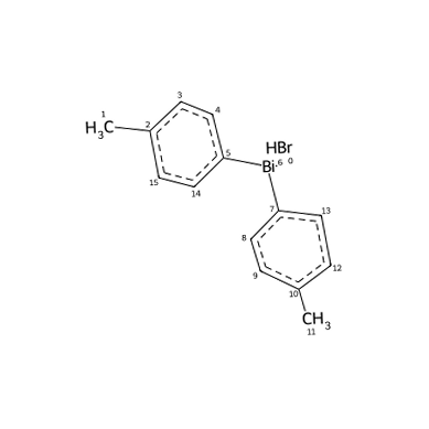 Br.Cc1cc[c]([Bi][c]2ccc(C)cc2)cc1